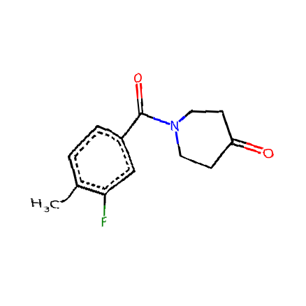 Cc1ccc(C(=O)N2CCC(=O)CC2)cc1F